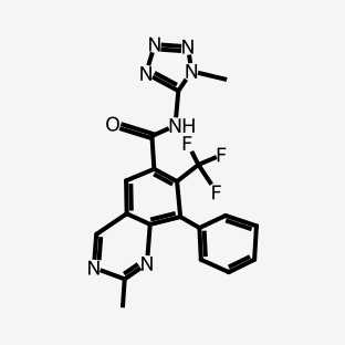 Cc1ncc2cc(C(=O)Nc3nnnn3C)c(C(F)(F)F)c(-c3ccccc3)c2n1